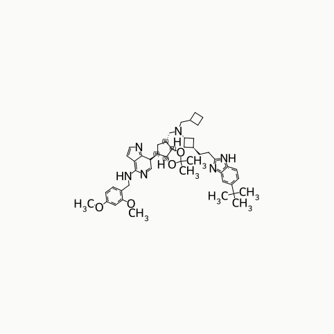 COc1ccc(CNC2=C3C=CN=C3C([C@H]3C[C@H](CN(CC4CCC4)[C@H]4C[C@H](CCc5nc6cc(C(C)(C)C)ccc6[nH]5)C4)[C@H]4OC(C)(C)O[C@H]43)C=N2)c(OC)c1